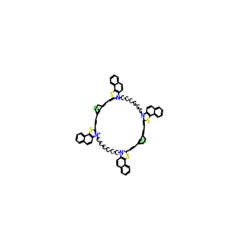 ClC1=C2C=Cc3sc4c5ccccc5ccc4[n+]3CCCCCC[n+]3c(sc4c5ccccc5ccc43)C=CC3=C(Cl)C(=CC=C4Sc5c(ccc6ccccc56)N4CCCCCCN4C(=CC=C1CC2)Sc1c4ccc2ccccc12)CC3